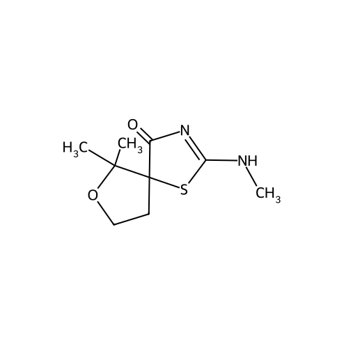 CNC1=NC(=O)C2(CCOC2(C)C)S1